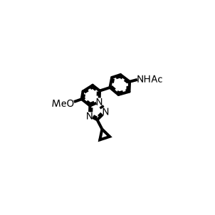 COc1ccc(-c2ccc(NC(C)=O)cc2)n2nc(C3CC3)nc12